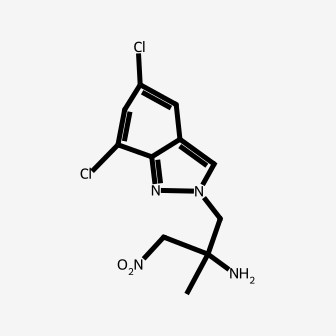 CC(N)(Cn1cc2cc(Cl)cc(Cl)c2n1)C[N+](=O)[O-]